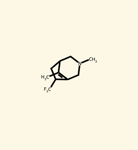 CC1=C2CN(C)CC1CC2C(F)(F)F